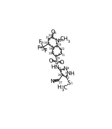 CSc1[nH]nc(NS(=O)(=O)c2ccc3c(c2)c(C(F)(F)F)cc(=O)n3C)c1C#N